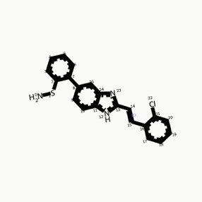 NSc1ccccc1-c1ccc2[nH]c(/C=C/c3ccccc3Cl)nc2c1